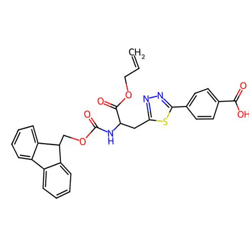 C=CCOC(=O)C(Cc1nnc(-c2ccc(C(=O)O)cc2)s1)NC(=O)OCC1c2ccccc2-c2ccccc21